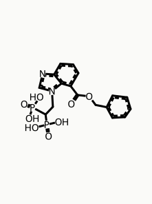 O=C(OCc1ccccc1)c1cccc2ncn(CC(P(=O)(O)O)P(=O)(O)O)c12